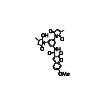 COc1ccc2cc(C(=O)Nc3cc(N4C(=O)C=C(C)C4=O)cc(N4C(=O)C=C(C)C4O)c3)c(=O)oc2c1